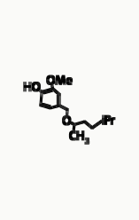 COc1cc(COC(C)CCC(C)C)ccc1O